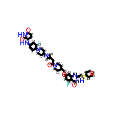 O=C1CC[C@@H](Nc2ccc(N3CCC(N4CC(CC(=O)N5CCC(COc6cc(F)c7c(=O)[nH]c(CSC8CCOCC8)nc7c6)CC5)C4)CC3)c(F)c2)C(=O)N1